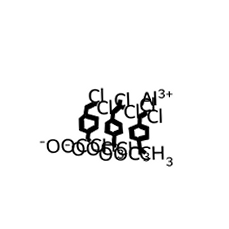 CC(C(=O)[O-])c1ccc(C=C(Cl)Cl)cc1.CC(C(=O)[O-])c1ccc(C=C(Cl)Cl)cc1.CC(C(=O)[O-])c1ccc(C=C(Cl)Cl)cc1.[Al+3]